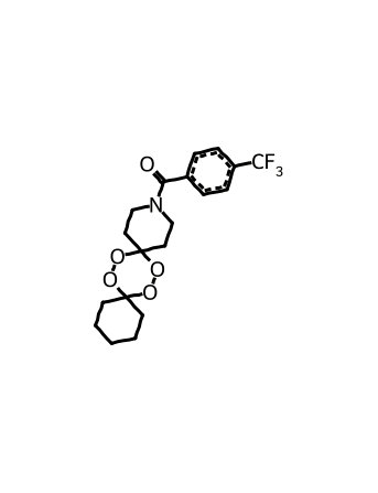 O=C(c1ccc(C(F)(F)F)cc1)N1CCC2(CC1)OOC1(CCCCC1)OO2